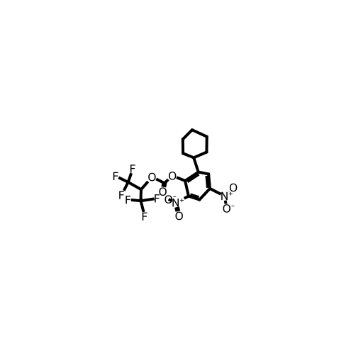 O=C(Oc1c(C2CCCCC2)cc([N+](=O)[O-])cc1[N+](=O)[O-])OC(C(F)(F)F)C(F)(F)F